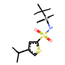 CC(C)c1csc(S(=O)(=O)N[Si](C)(C)C(C)(C)C)c1